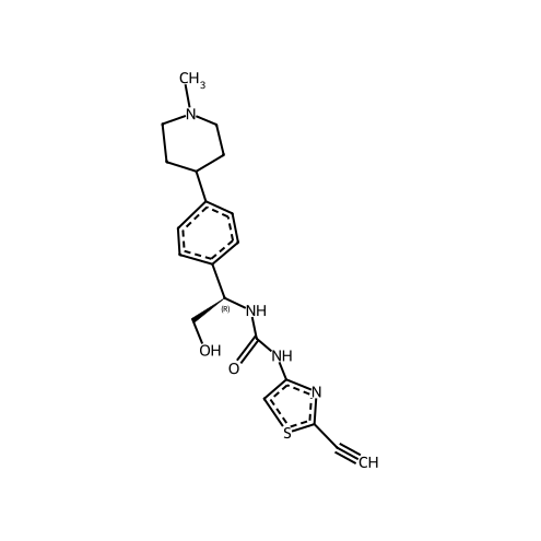 C#Cc1nc(NC(=O)N[C@@H](CO)c2ccc(C3CCN(C)CC3)cc2)cs1